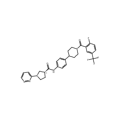 O=C(Nc1ccc(C2CCN(C(=O)c3cc(C(F)(F)F)ccc3F)CC2)cc1)[C@H]1CCN(c2cccnn2)C1